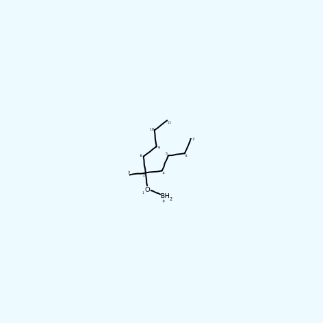 BOC(C)(CCCC)CCCC